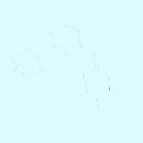 CC1C(O)C(O)C(O)CN1CC1CCCN(c2cnccc2C(F)(F)F)C1